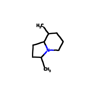 CC1CCCN2C(C)CCC12